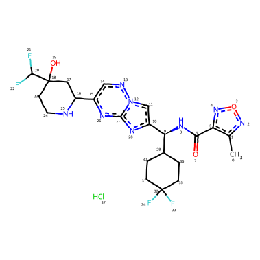 Cc1nonc1C(=O)N[C@H](c1cn2ncc(C3CC(O)(C(F)F)CCN3)nc2n1)C1CCC(F)(F)CC1.Cl